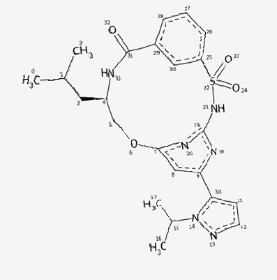 CC(C)C[C@@H]1COc2cc(-c3ccnn3C(C)C)nc(n2)NS(=O)(=O)c2cccc(c2)C(=O)N1